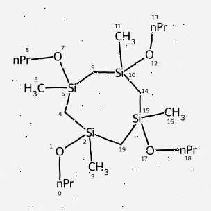 CCCO[Si]1(C)C[Si](C)(OCCC)C[Si](C)(OCCC)C[Si](C)(OCCC)C1